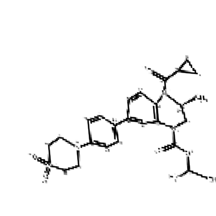 CC(C)OC(=O)N1C[C@H](C)N(C(=O)C2CC2)c2ccc(-c3ccc(N4CCS(=O)(=O)CC4)cc3)cc21